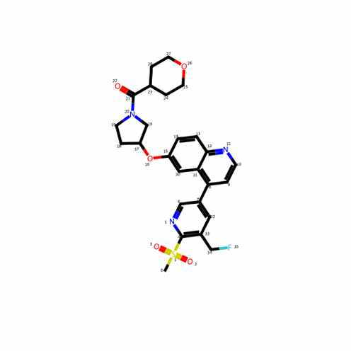 CS(=O)(=O)c1ncc(-c2ccnc3ccc(OC4CCN(C(=O)C5CCOCC5)C4)cc23)cc1CF